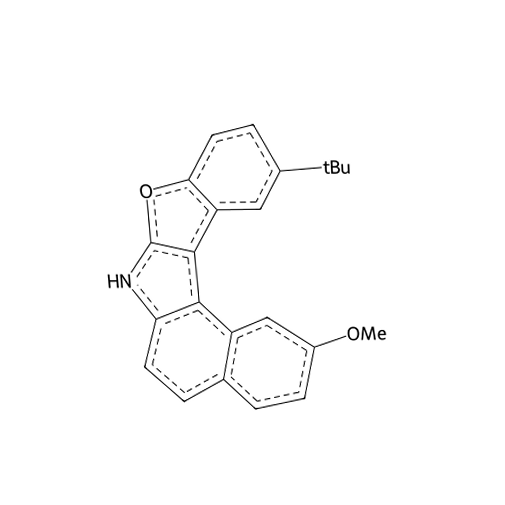 COc1ccc2ccc3[nH]c4oc5ccc(C(C)(C)C)cc5c4c3c2c1